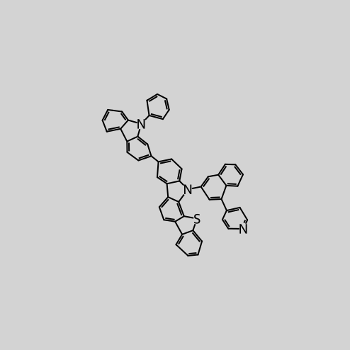 c1ccc(-n2c3ccccc3c3ccc(-c4ccc5c(c4)c4ccc6c7ccccc7sc6c4n5-c4cc(-c5ccncc5)c5ccccc5c4)cc32)cc1